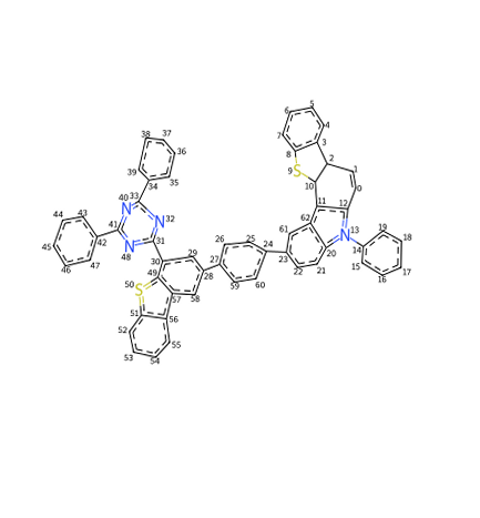 C1=CC2c3ccccc3SC2c2c1n(-c1ccccc1)c1ccc(-c3ccc(-c4cc(-c5nc(-c6ccccc6)nc(-c6ccccc6)n5)c5sc6ccccc6c5c4)cc3)cc21